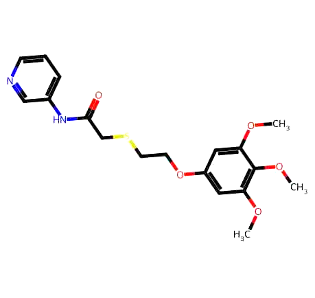 COc1cc(OCCSCC(=O)Nc2cccnc2)cc(OC)c1OC